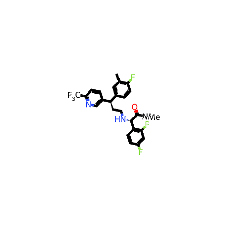 CNC(=O)[C@@H](NCC[C@@H](c1ccc(C(F)(F)F)nc1)c1ccc(F)c(C)c1)c1ccc(F)cc1F